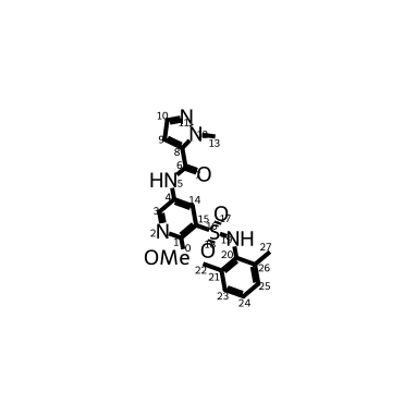 COc1ncc(NC(=O)c2ccnn2C)cc1S(=O)(=O)Nc1c(C)cccc1C